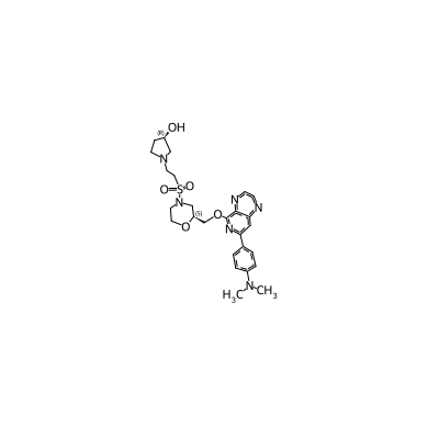 CN(C)c1ccc(-c2cc3nccnc3c(OC[C@@H]3CN(S(=O)(=O)CCN4CC[C@@H](O)C4)CCO3)n2)cc1